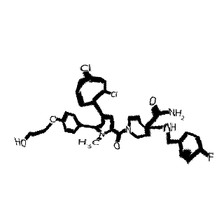 Cn1c(C(=O)N2CCC(NCc3ccc(F)cc3)(C(N)=O)CC2)cc(-c2ccc(Cl)cc2Cl)c1-c1ccc(OCCO)cc1